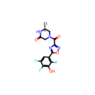 CC[C@H]1CN(C(=O)c2noc(-c3cc(F)c(F)c(O)c3F)n2)CC(=O)N1